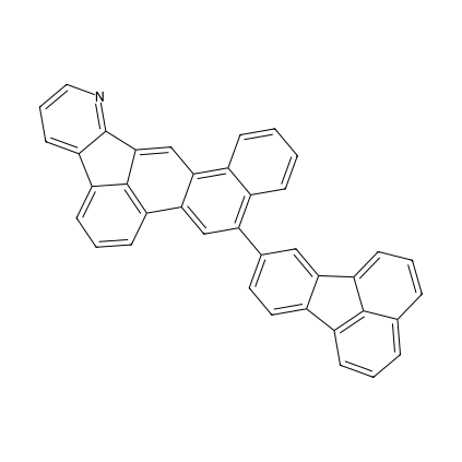 c1cnc2c(c1)-c1cccc3c1c-2cc1c2ccccc2c(-c2ccc4c(c2)-c2cccc5cccc-4c25)cc31